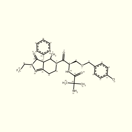 CC1N(C(=O)[C@@H](COCc2ccc(Cl)cc2)NC(=O)C(C)(C)N)CCC2=NN(CC(F)(F)F)C(=O)[C@]21c1ccccn1